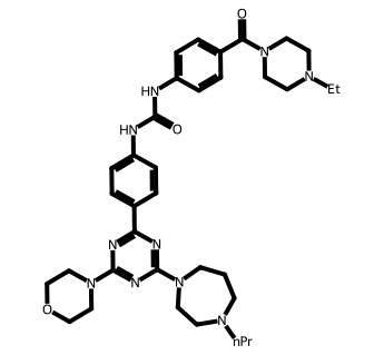 CCCN1CCCN(c2nc(-c3ccc(NC(=O)Nc4ccc(C(=O)N5CCN(CC)CC5)cc4)cc3)nc(N3CCOCC3)n2)CC1